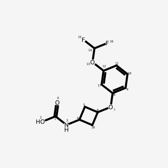 O=C(O)NC1CC(Oc2cccc(OC(F)F)c2)C1